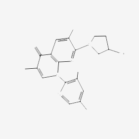 O=C(O)c1cn(-c2ncc(F)cc2F)c2nc(N3CCC(O)C3)c(F)cc2c1=O